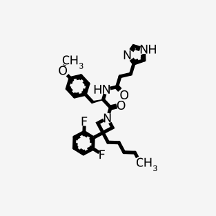 CCCCCC1(c2c(F)cccc2F)CN(C(=O)[C@@H](Cc2ccc(OC)cc2)NC(=O)CCc2c[nH]cn2)C1